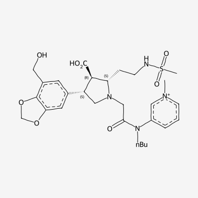 CCCCN(C(=O)CN1C[C@H](c2cc(CO)c3c(c2)OCO3)[C@@H](C(=O)O)[C@@H]1CCNS(C)(=O)=O)c1ccc[n+](C)c1